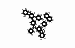 c1ccc(N(c2ccc(-c3cc4c(cc3-c3ccc(N(c5ccccc5)c5cccc6ccccc56)cc3)oc3ccccc34)cc2)c2ccc3oc4ccccc4c3c2)cc1